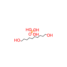 O=P(O)(O)O.OCCCCCCCCCCO